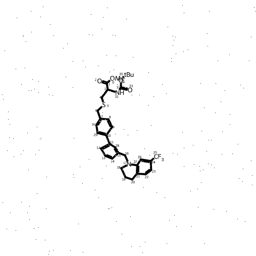 COC(=O)C(CSCc1ccc(-c2cccc(CN3CCCc4ccc(C(F)(F)F)cc43)c2)cc1)NC(=O)OC(C)(C)C